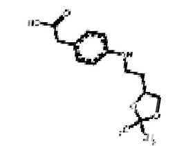 CC1(C)OCC(CCNc2ccc(CC(=O)O)cc2)O1